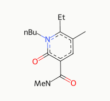 CCCCn1c(CC)c(C)cc(C(=O)NC)c1=O